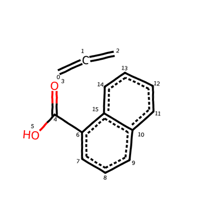 C=C=C.O=C(O)c1cccc2ccccc12